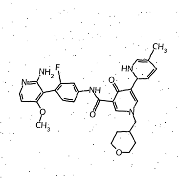 COc1ccnc(N)c1-c1ccc(NC(=O)c2cn(CC3CCOCC3)cc(C3C=CC(C)=CN3)c2=O)cc1F